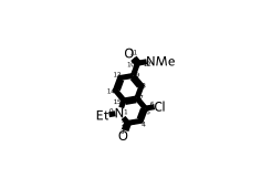 CCn1c(=O)cc(Cl)c2cc(C(=O)NC)ccc21